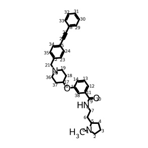 CN1CCCC1CCNC(=O)c1cccc(OC2CCN(Cc3ccc(C#Cc4ccccc4)cc3)CC2)c1